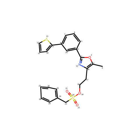 Cc1oc(-c2cccc(-c3cccs3)c2)nc1CCOS(=O)(=O)Cc1ccccc1